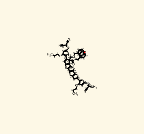 CCCOc1cc(N=C(C#N)C#N)sc1C1=Cc2sc3c(sc4c5sc(-c6sc(/N=C(/N)C#N)cc6OCCC)cc5sc34)c2C1(C(=O)OCc1ccccc1)C(=O)OCc1ccccc1